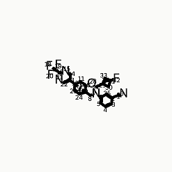 N#Cc1cccc(N(CC23CCC(c4cnc(C(F)(F)F)nc4)(CC2)OC3)C(=O)C23CC(F)(C2)C3)c1